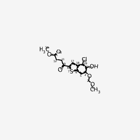 COCOc1cc2sc(C(=O)CCC(=O)OC)cc2c(Cl)c1O